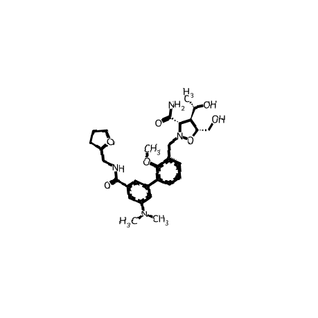 COc1c(CN2O[C@@H](CO)[C@H]([C@H](C)O)[C@H]2C(N)=O)cccc1-c1cc(C(=O)NCC2CCCO2)cc(N(C)C)c1